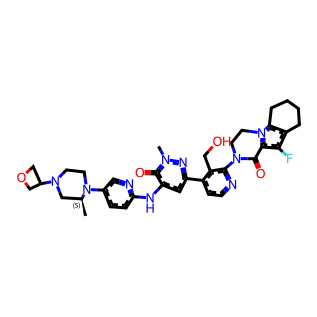 C[C@H]1CN(C2COC2)CCN1c1ccc(Nc2cc(-c3ccnc(N4CCn5c6c(c(F)c5C4=O)CCCC6)c3CO)nn(C)c2=O)nc1